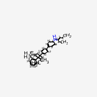 C=C/C=C(\CC)Nc1ccc(-c2ccc(C(CC)(CCC)C(CC)(CC)c3ccccc3)cc2)cc1